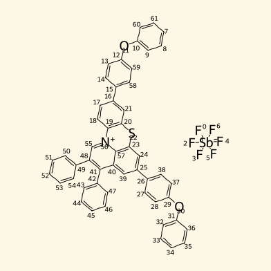 [F][Sb-]([F])([F])([F])([F])[F].c1ccc(Oc2ccc(-c3ccc4c(c3)Sc3cc(-c5ccc(Oc6ccccc6)cc5)cc5c(-c6ccccc6)c(-c6ccccc6)c[n+]-4c35)cc2)cc1